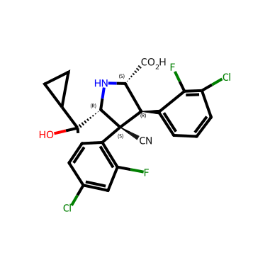 CC(O)(C1CC1)[C@@H]1N[C@H](C(=O)O)[C@@H](c2cccc(Cl)c2F)[C@]1(C#N)c1ccc(Cl)cc1F